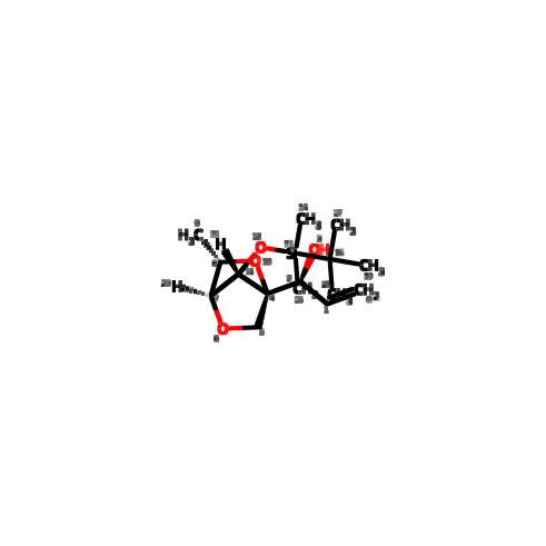 C=C[C@H](O)[C@@]12CO[C@@H]([C@H](C)O1)[C@@H]2O[Si](C)(C)C(C)(C)C